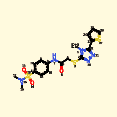 CCn1c(SCC(=O)Nc2ccc(S(=O)(=O)N(C)C)cc2)nnc1-c1cccs1